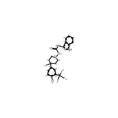 O=C(Nc1n[nH]c2ccccc12)ON1CCC(F)(c2ccc(Cl)c(C(F)(F)F)c2)CC1